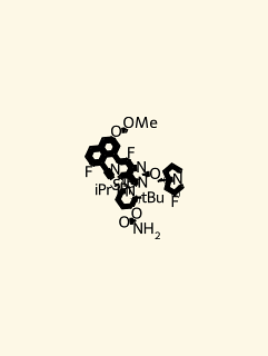 COCOc1cc(-c2ncc3c(N4CCCC(OC(N)=O)[C@@H]4C(C)(C)C)nc(OC[C@@]45CCCN4C[C@H](F)C5)nc3c2F)c2c(C#C[Si](C(C)C)(C(C)C)C(C)C)c(F)ccc2c1